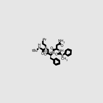 CC(C)CCN(CC(O)[C@H](Cc1ccccc1)NC(=O)C(CC(N)=O)NC(=O)N(C)c1ccccc1)C(=O)NC(C)(C)C